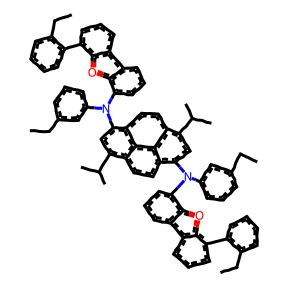 CCc1cccc(N(c2cc(C(C)C)c3ccc4c(N(c5cccc(CC)c5)c5cccc6c5oc5c(-c7ccccc7CC)cccc56)cc(C(C)C)c5ccc2c3c54)c2cccc3c2oc2c(-c4ccccc4CC)cccc23)c1